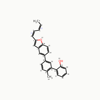 C/C=C\C=C/c1cc2cc(-c3ccc(C)c(-c4ccccc4O)c3)ccc2o1